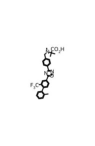 Cc1ccccc1-c1ccc(-c2nc(-c3ccc(CN(C)C(C)(C)C(=O)O)cc3)no2)cc1C(F)(F)F